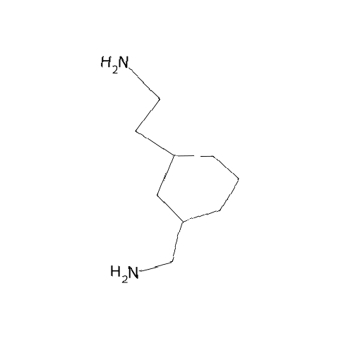 NCCC1CCCC(CN)C1